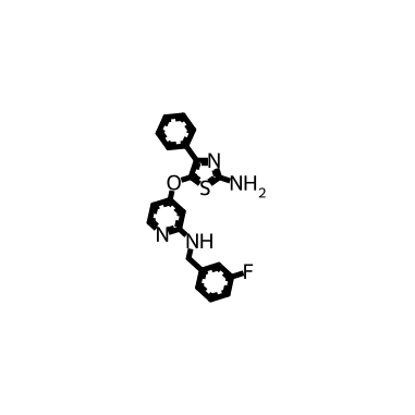 Nc1nc(-c2ccccc2)c(Oc2ccnc(NCc3cccc(F)c3)c2)s1